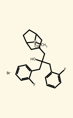 C[N+]1(C)C2CCC1CC(CC(O)(Cc1ccccc1F)Cc1ccccc1F)C2.[Br-]